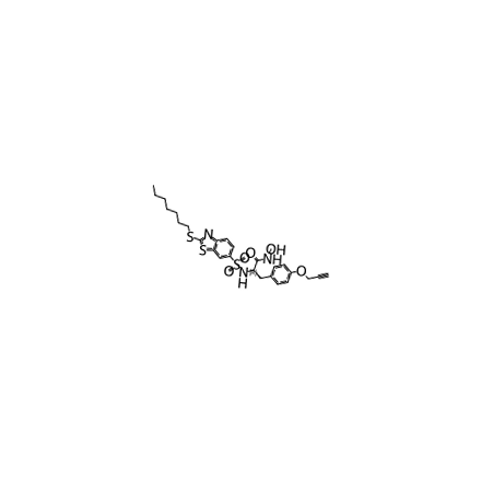 C#CCOc1ccc(C[C@@H](NS(=O)(=O)c2ccc3nc(SCCCCCCC)sc3c2)C(=O)NO)cc1